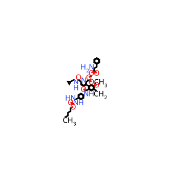 C=Cc1cc(C(=O)Nc2ccc(C(=N)NC(=O)OCCCCCC)cc2)c(-c2ccc(C(=O)NCC3CC3)nc2C(=O)OCOC(=O)C(N)Cc2ccccc2)cc1OC